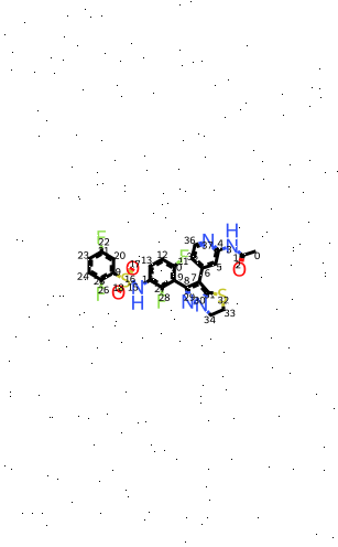 CC(=O)Nc1cc(-c2c(-c3c(F)ccc(NS(=O)(=O)c4cc(F)ccc4F)c3F)nn3c2SCC3)ccn1